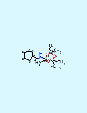 C[Si]1(C)O[Si](C)(C)O[Si](C)(NCC2CCCCC2)O1